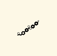 O=C(Oc1ccc(-c2ccc(F)cc2)cc1)c1ccc(C2CCC(CC3CO3)CC2)cc1